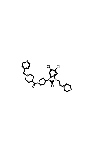 O=C(C1CCN(Cc2ccncc2)CC1)N1CCC(n2c(=O)n(CCN3CCOCC3)c3cc(Cl)c(Cl)cc32)CC1